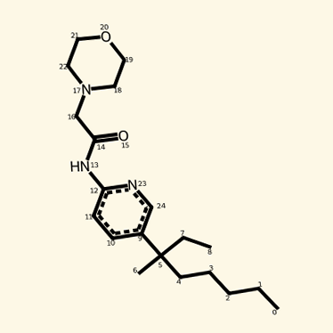 CCCCCC(C)(CC)c1ccc(NC(=O)CN2CCOCC2)nc1